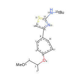 COCC(C)Oc1ccc(-c2csc(NC(C)(C)C)n2)cc1